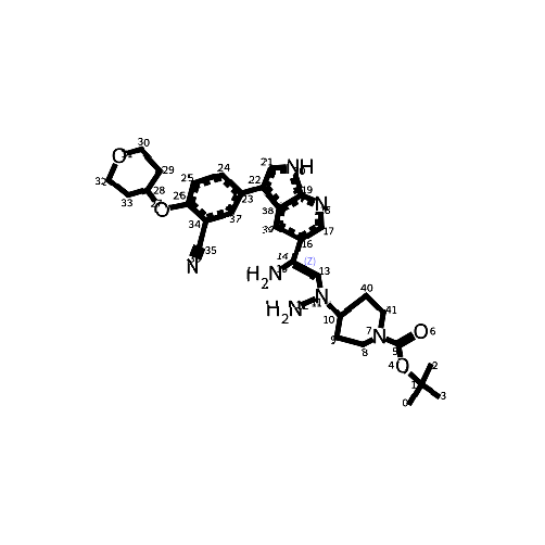 CC(C)(C)OC(=O)N1CCC(N(N)/C=C(\N)c2cnc3[nH]cc(-c4ccc(OC5CCOCC5)c(C#N)c4)c3c2)CC1